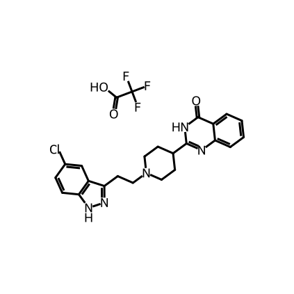 O=C(O)C(F)(F)F.O=c1[nH]c(C2CCN(CCc3n[nH]c4ccc(Cl)cc34)CC2)nc2ccccc12